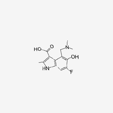 Cc1[nH]c2cc(F)c(O)c(CN(C)C)c2c1C(=O)O